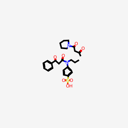 CC(=O)CC(=O)N1CCCCC1.CCCN(C(=O)CC(=O)c1ccccc1)c1ccc(S(=O)(=O)O)cc1